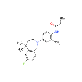 Cc1cc(N2CCC(C)(C)c3cc(F)ccc3C2)ccc1NC(=O)CC(C)(C)C